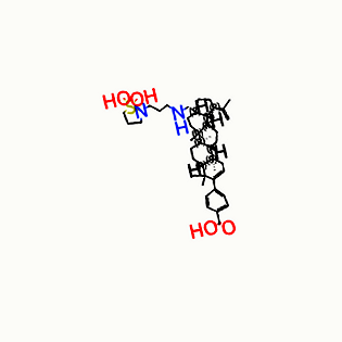 C=C(C)[C@@H]1CC[C@]2(CNCCCN3CCCS3(O)O)CC[C@]3(C)[C@H](CC[C@@H]4[C@@]5(C)CC=C(c6ccc(C(=O)O)cc6)C(C)(C)[C@@H]5CC[C@]43C)[C@@H]12